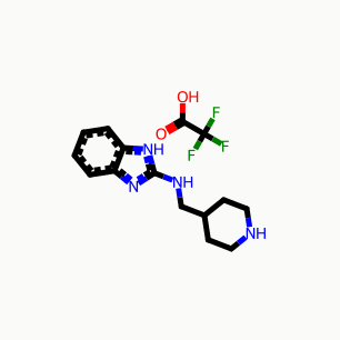 O=C(O)C(F)(F)F.c1ccc2[nH]c(NCC3CCNCC3)nc2c1